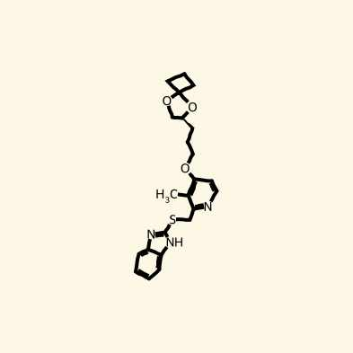 Cc1c(OCCC[C@H]2COC3(CCC3)O2)ccnc1CSc1nc2ccccc2[nH]1